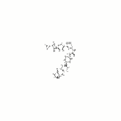 C=C(/N=C\C=C(/N)c1ccc(NC(=O)C2CC2)cc1)Nc1ccc(N2CCN(Cc3nccn3C)CC2)cc1